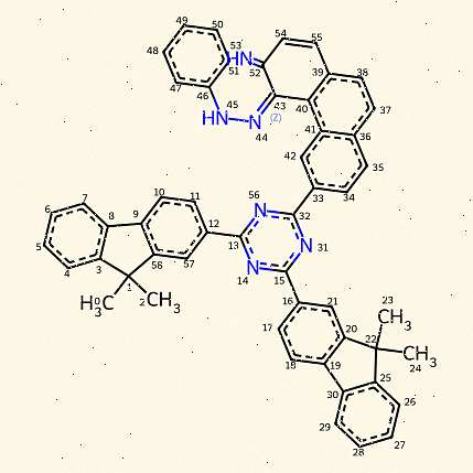 CC1(C)c2ccccc2-c2ccc(-c3nc(-c4ccc5c(c4)C(C)(C)c4ccccc4-5)nc(-c4ccc5ccc6c(c5c4)/C(=N/Nc4ccccc4)C(=N)C=C6)n3)cc21